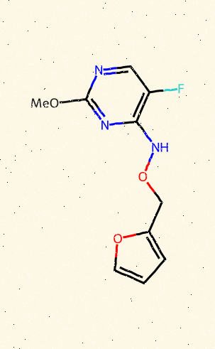 COc1ncc(F)c(NOCc2ccco2)n1